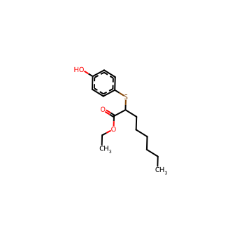 CCCCCCC(Sc1ccc(O)cc1)C(=O)OCC